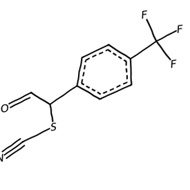 N#CSC(C=O)c1ccc(C(F)(F)F)cc1